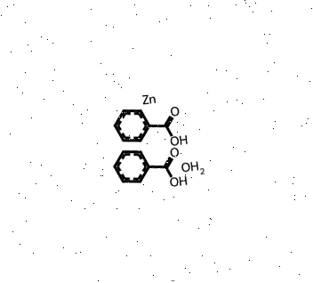 O.O=C(O)c1ccccc1.O=C(O)c1ccccc1.[Zn]